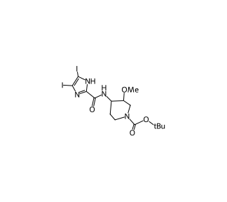 COC1CN(C(=O)OC(C)(C)C)CCC1NC(=O)c1nc(I)c(I)[nH]1